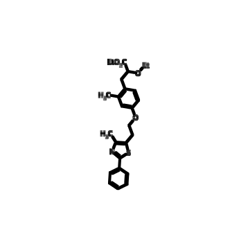 CCOC(=O)C(Cc1ccc(OCCc2sc(-c3ccccc3)nc2C)cc1C)OCC